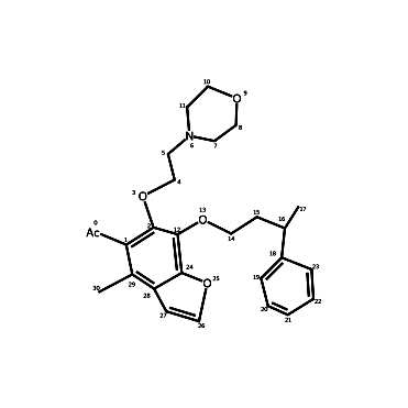 CC(=O)c1c(OCCN2CCOCC2)c(OCCC(C)c2ccccc2)c2occc2c1C